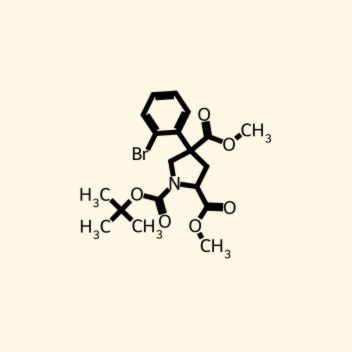 COC(=O)C1CC(C(=O)OC)(c2ccccc2Br)CN1C(=O)OC(C)(C)C